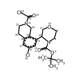 CC(C)(C)OC(=O)N1CCOCC1c1cc(Cl)cc2c1CN(C(=O)Cl)CC2